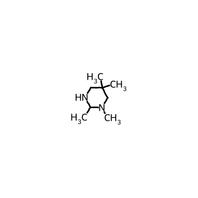 CC1NCC(C)(C)CN1C